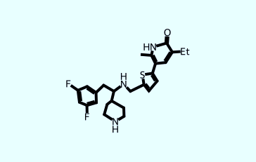 CCc1cc(-c2ccc(CNC(Cc3cc(F)cc(F)c3)C3CCNCC3)s2)c(C)[nH]c1=O